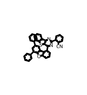 N#Cc1ccccc1-c1nc(-c2cccc3oc4c(-c5ccccc5)cc(-c5ccccc5)cc4c23)c2sc3ccccc3c2n1